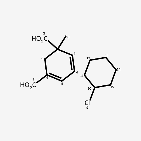 CC1(C(=O)O)C=CC=C(C(=O)O)C1.ClC1CCCCC1